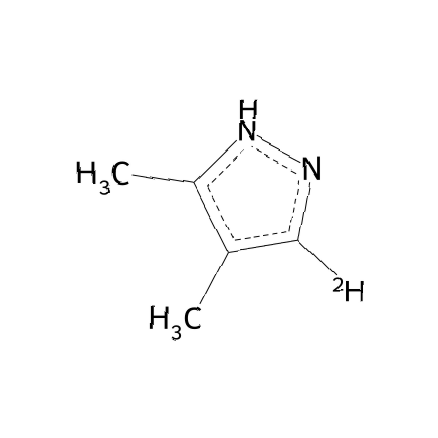 [2H]c1n[nH]c(C)c1C